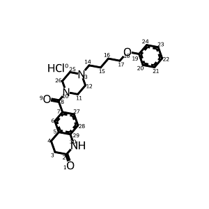 Cl.O=C1CCc2cc(C(=O)N3CCN(CCCCOc4ccccc4)CC3)ccc2N1